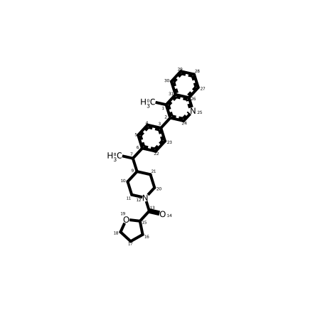 Cc1c(-c2ccc(C(C)C3CCN(C(=O)C4CCCO4)CC3)cc2)cnc2ccccc12